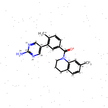 Cc1ccc(C(=O)N2CCCc3ccc(C(F)(F)F)cc32)cc1-c1cnc(N)nc1